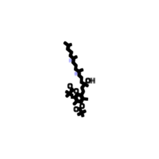 CC(C)=CCC/C(C)=C/CC/C(C)=C/CCC(C)(O)CCc1c(C)c(OC(=O)C(C)(C)C)c(C)c(C)c1OC(=O)C(C)(C)C